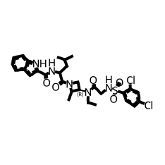 CCN(C(=O)CNS(=O)(=O)c1ccc(Cl)cc1Cl)[C@@H]1CN(C(=O)C(CC(C)C)NC(=O)c2cc3ccccc3[nH]2)C1C